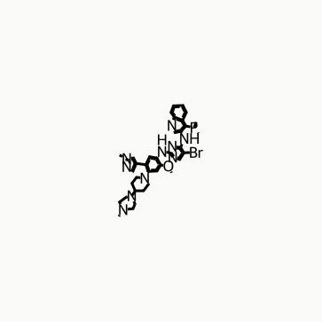 COc1cc(N2CCC(N3CCN(C)CC3)CC2)c(-c2cnn(C)c2)cc1Nc1ncc(Br)c(Nc2cnc3ccccc3c2P(C)C)n1